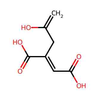 C=C(O)C/C(=C\C(=O)O)C(=O)O